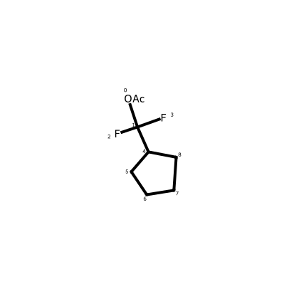 CC(=O)OC(F)(F)C1CCCC1